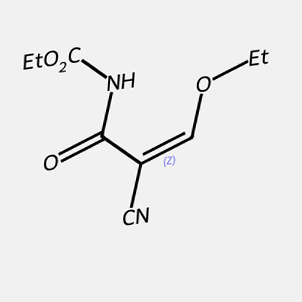 CCO/C=C(/C#N)C(=O)NC(=O)OCC